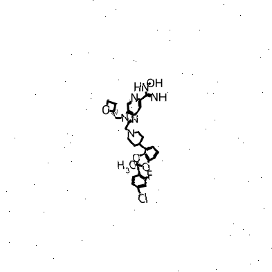 C[C@]1(c2ccc(Cl)cc2F)Oc2cccc(C3CCN(Cc4nc5cc(C(=N)NO)ncc5n4C[C@@H]4CCO4)CC3)c2O1